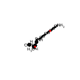 CC(=O)N1c2ccc(-c3ccc(C(=O)NCCOCCOCCOCCOCCOCCOCCOCCN)cc3)cc2[C@H](Nc2ccc(Cl)cc2)C[C@@H]1C